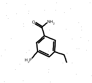 CCc1cc(P)cc(C(N)=O)c1